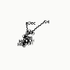 CCCCCCCCCCCCCCCC(=O)O[C@H](COC(=O)CCCCCCCCCCCS)COP(=O)(O)OC1C(O)[C@@H](O)C(O)[C@@H](OP(=O)(O)O)[C@H]1O